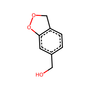 OCc1ccc2c(c1)OOC2